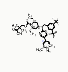 C=C/C(=C\N(C)N)c1cnc(N(Cc2cc(C(F)(F)F)cc(C(F)(F)F)c2)[C@H]2C[C@@H](CC)N(C(=O)OCC(C)(C)C(=O)O)[C@@H](CC)C2)nc1